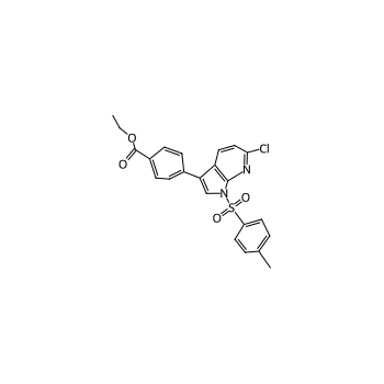 CCOC(=O)c1ccc(-c2cn(S(=O)(=O)c3ccc(C)cc3)c3nc(Cl)ccc23)cc1